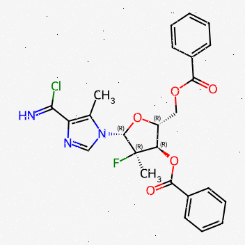 Cc1c(C(=N)Cl)ncn1[C@@H]1O[C@H](COC(=O)c2ccccc2)[C@@H](OC(=O)c2ccccc2)[C@@]1(C)F